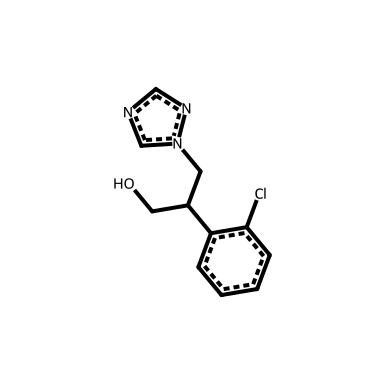 OCC(Cn1cncn1)c1ccccc1Cl